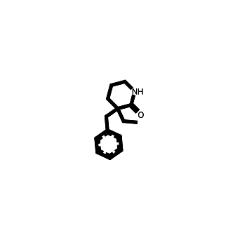 CCC1(Cc2ccccc2)CCCNC1=O